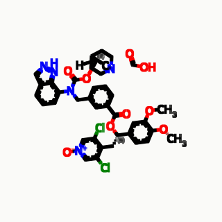 COc1ccc([C@H](Cc2c(Cl)c[n+]([O-])cc2Cl)OC(=O)c2cccc(CN(C(=O)O[C@H]3CN4CCC3CC4)c3cccc4cn[nH]c34)c2)cc1OC.O=CO